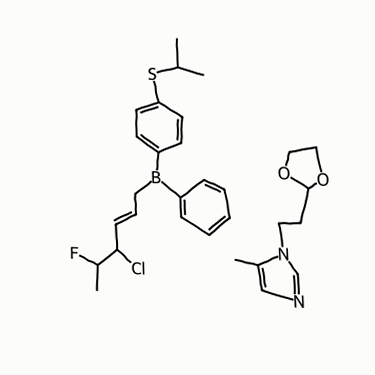 CC(C)Sc1ccc(B(CC=CC(Cl)C(C)F)c2ccccc2)cc1.Cc1cncn1CCC1OCCO1